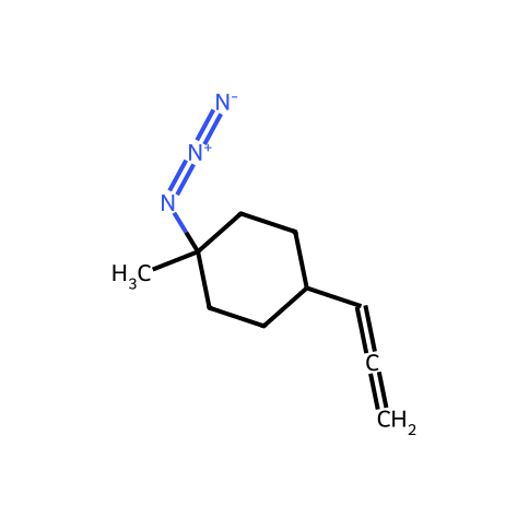 C=C=CC1CCC(C)(N=[N+]=[N-])CC1